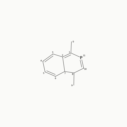 CC1=C2C=CC=CC2C(C)C=P1